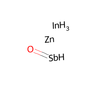 [InH3].[O]=[SbH].[Zn]